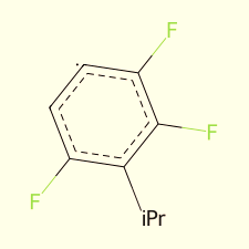 CC(C)c1c(F)c[c]c(F)c1F